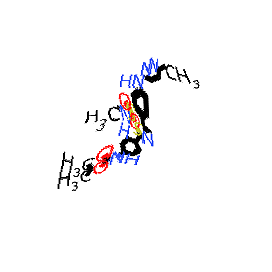 CCNS(=O)(=O)c1cc(Nc2ccc(CC)nn2)ccc1-c1cnc(C2CCC(NC(=O)OC(C)C)CC2)s1